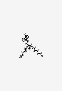 CCCCCCn1cc(CCC(=O)OC)[n+](CCCCC)c1